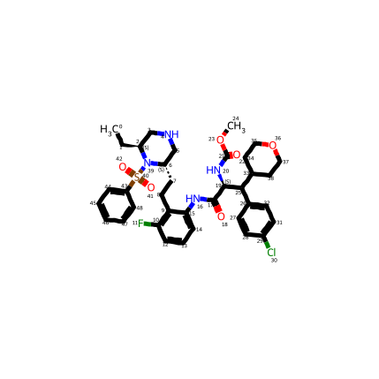 CC[C@H]1CNC[C@H](CCc2c(F)cccc2NC(=O)[C@@H](NC(=O)OC)C(c2ccc(Cl)cc2)C2CCOCC2)N1S(=O)(=O)c1ccccc1